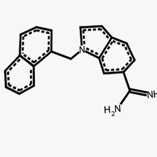 N=C(N)c1ccc2ccn(Cc3cccc4ccccc34)c2c1